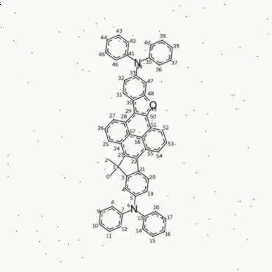 CC1(C)c2cc(N(c3ccccc3)c3ccccc3)ccc2-c2c1c1cccc3c4c5ccc(N(c6ccccc6)c6ccccc6)cc5oc4c4cccc2c4c13